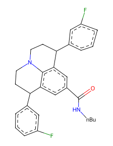 CCCCNC(=O)c1cc2c3c(c1)C(c1cccc(F)c1)CCN3CCC2c1cccc(F)c1